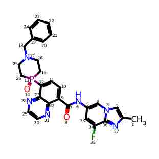 Cc1cn2cc(NC(=O)c3ccc(P4(=O)CCN(Cc5ccccc5)CC4)c4nccnc34)cc(F)c2n1